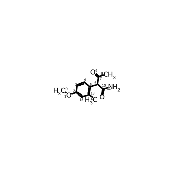 COc1ccc(C(C(C)=O)C(N)=O)c(C)c1